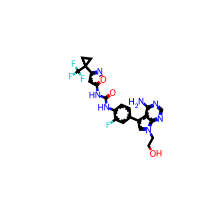 Nc1ncnc2c1c(-c1ccc(NC(=O)Nc3cc(C4(C(F)(F)F)CC4)no3)c(F)c1)cn2CCO